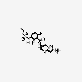 CCCS(=O)(=O)Nc1ccc(F)c(C(=O)Nc2cnc3cc(NC)nn3c2)c1F